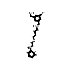 OCc1cc(F)cc(CNCCCCOCCNc2ccccc2)c1